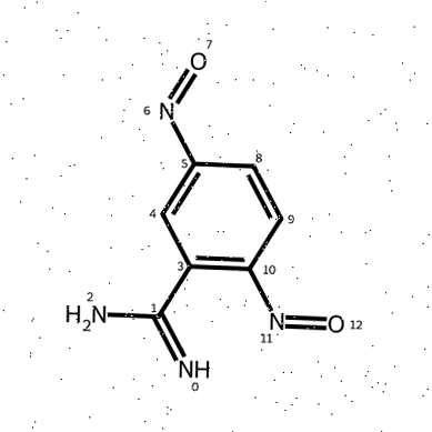 N=C(N)c1cc(N=O)ccc1N=O